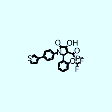 CC(C)C(=O)C1=C(O)C(=O)N(c2ccc(-c3ccsc3)cc2)C1c1ccccc1OC(F)F